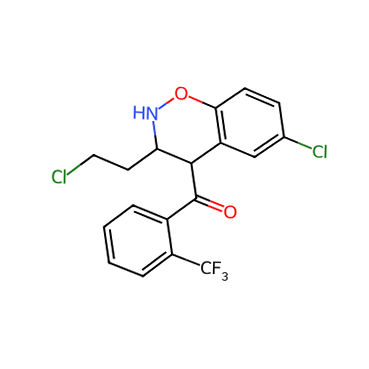 O=C(c1ccccc1C(F)(F)F)C1c2cc(Cl)ccc2ONC1CCCl